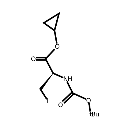 CC(C)(C)OC(=O)N[C@@H](CI)C(=O)OC1CC1